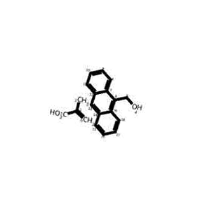 C=C(C)C(=O)O.OCc1c2ccccc2cc2ccccc12